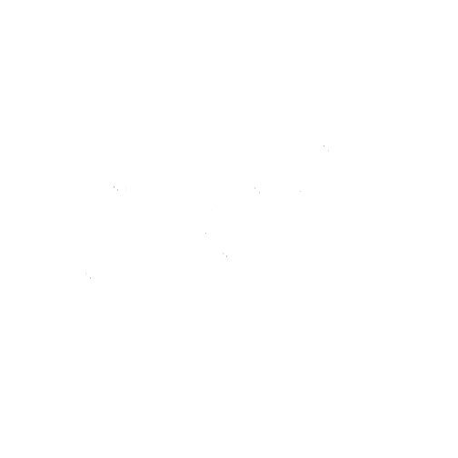 COc1ccc2ncc(CN)c([C@H](F)CCC3(C(=O)NO)CCN(CC(=S)c4ccccn4)CC3)c2c1